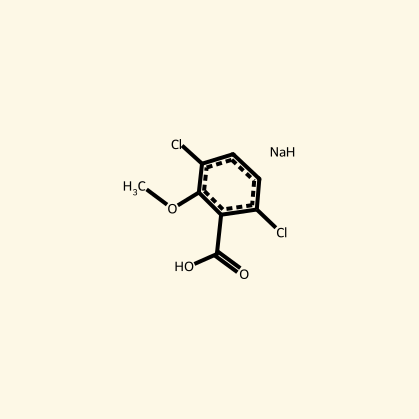 COc1c(Cl)ccc(Cl)c1C(=O)O.[NaH]